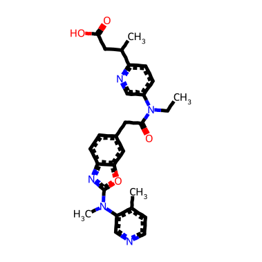 CCN(C(=O)Cc1ccc2nc(N(C)c3cnccc3C)oc2c1)c1ccc(C(C)CC(=O)O)nc1